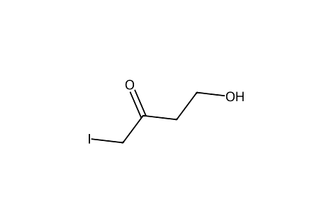 O=C(CI)CCO